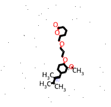 CO[C@@H]1CC(/C=C(\C)C(C)C)CCC1OCCCOCC1CCCC(=O)O1